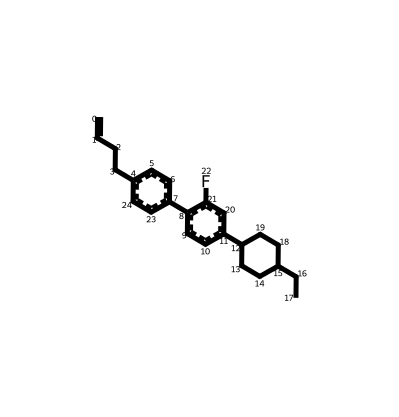 C=CCCc1ccc(-c2ccc(C3CCC(CC)CC3)cc2F)cc1